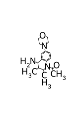 CC(=O)N1c2ccc(N3CCOCC3)cc2[C@H](N)C(C)[C@@H]1C